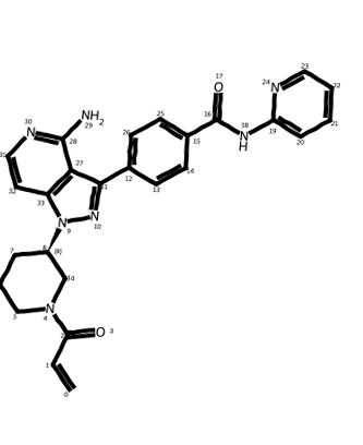 C=CC(=O)N1CCC[C@@H](n2nc(-c3ccc(C(=O)Nc4ccccn4)cc3)c3c(N)nccc32)C1